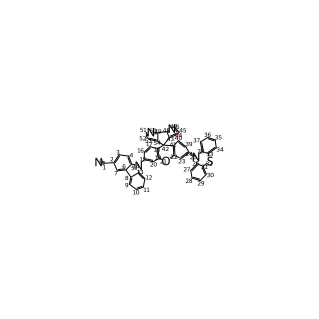 N#Cc1ccc2c(c1)c1ccccc1n2-c1ccc2c(c1)Oc1cc(N3c4ccccc4Sc4ccccc43)ccc1C21c2cccnc2-c2ncccc21